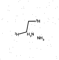 N.N.[2H]CC[2H]